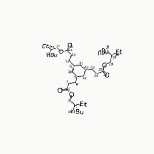 CCCCC(CC)COC(=O)CCC1CC(CCC(=O)OCC(CC)CCCC)CC(CCC(=O)OCC(CC)CCCC)C1